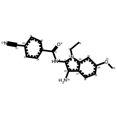 CCn1c(NC(=O)c2ccc(C#N)cc2)c(N)c2ccc(OC)cc21